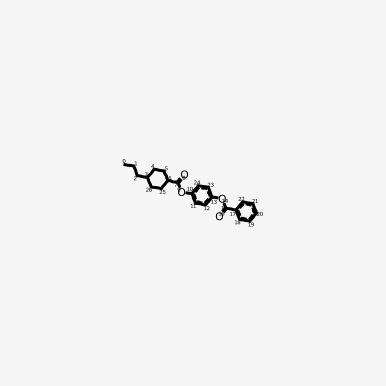 CCCC1CCC(C(=O)Oc2ccc(OC(=O)c3ccccc3)cc2)CC1